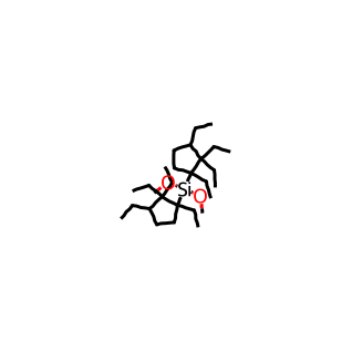 CCC1CCC(CC)([Si](OC)(OC)C2(CC)CCC(CC)C2(CC)CC)C1(CC)CC